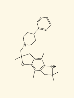 Cc1c2c(c(C)c3c1NC(C)(C)C3)OC(C)(CN1CCC(c3ccccc3)CC1)C2